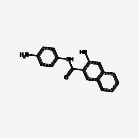 Nc1ccc(NC(=O)c2cc3ccccc3cc2O)cc1